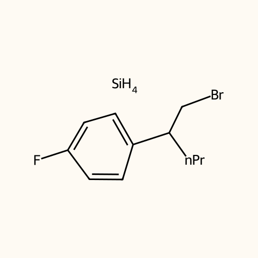 CCCC(CBr)c1ccc(F)cc1.[SiH4]